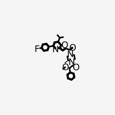 CO[C@@H](C(=O)N1CCN(C(=O)c2cc3nc(-c4ccc(F)cc4)cc(C(C)C)c3o2)C[C@@H]1C)c1ccccc1